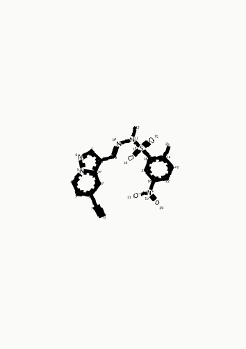 C#Cc1ccn2ncc(C=NN(C)S(=O)(=O)c3cc([N+](=O)[O-])ccc3C)c2c1